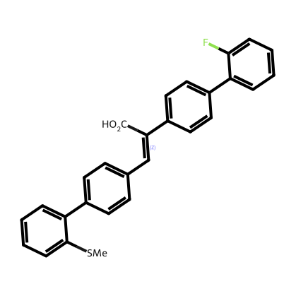 CSc1ccccc1-c1ccc(/C=C(\C(=O)O)c2ccc(-c3ccccc3F)cc2)cc1